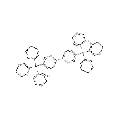 Fc1ccccc1[B-](c1ccccc1)(c1ccccc1)c1ccc(-c2ccc([B-](c3ccccc3)(c3ccccc3)c3ccccc3)c(Cl)c2)cc1